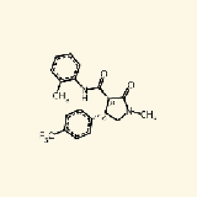 Cc1ccccc1NC(=O)[C@H]1C(=O)N(C)C[C@@H]1c1ccc(C(F)(F)F)cc1